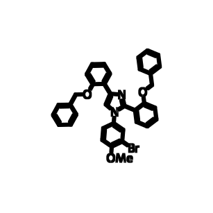 COc1ccc(-n2cc(-c3ccccc3OCc3ccccc3)nc2-c2ccccc2OCc2ccccc2)cc1Br